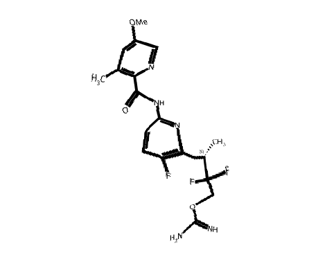 COc1cnc(C(=O)Nc2ccc(F)c([C@H](C)C(F)(F)COC(=N)N)n2)c(C)c1